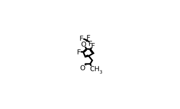 CC(C=O)Cc1cc(F)c(OC(F)(F)F)c(F)c1